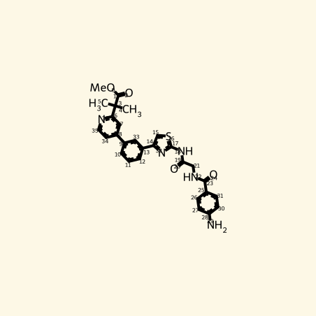 COC(=O)C(C)(C)c1cc(-c2cccc(-c3csc(NC(=O)CNC(=O)c4ccc(N)cc4)n3)c2)ccn1